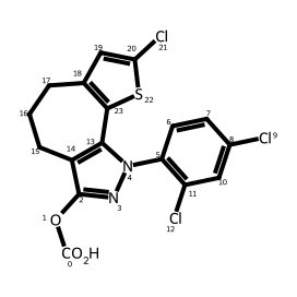 O=C(O)Oc1nn(-c2ccc(Cl)cc2Cl)c2c1CCCc1cc(Cl)sc1-2